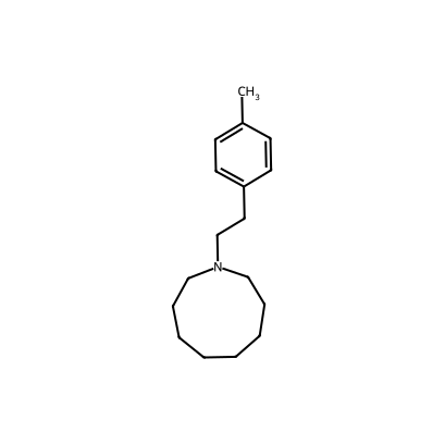 Cc1ccc(CCN2CCCCCCCC2)cc1